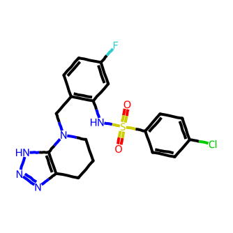 O=S(=O)(Nc1cc(F)ccc1CN1CCCc2nn[nH]c21)c1ccc(Cl)cc1